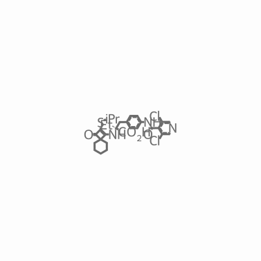 CC[C@@](Cc1ccc(NC(=O)c2c(Cl)cncc2Cl)cc1)(NC1=C(SC(C)C)C(=O)C12CCCCC2)C(=O)O